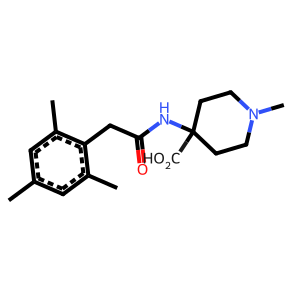 Cc1cc(C)c(CC(=O)NC2(C(=O)O)CCN(C)CC2)c(C)c1